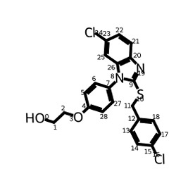 OCCOc1ccc(-n2c(SCc3ccc(Cl)cc3)nc3ccc(Cl)cc32)cc1